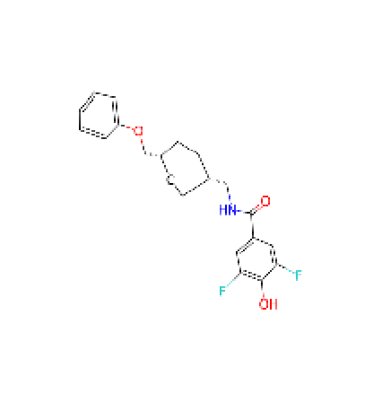 O=C(NC[C@H]1CC[C@@H](COc2ccccc2)CC1)c1cc(F)c(O)c(F)c1